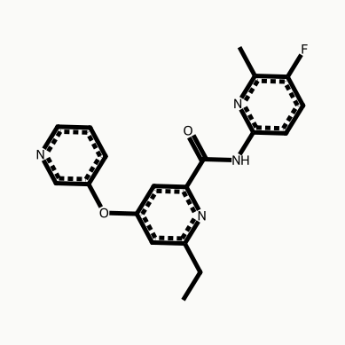 CCc1cc(Oc2cccnc2)cc(C(=O)Nc2ccc(F)c(C)n2)n1